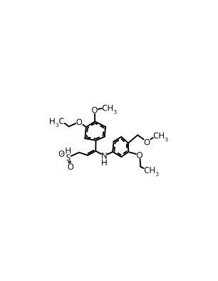 CCOc1cc(NC(=CC[SH](=O)=O)c2ccc(OC)c(OCC)c2)ccc1COC